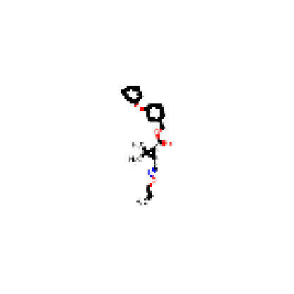 C=CCON=C[C@H]1[C@@H](C(=O)OCc2cccc(Oc3ccccc3)c2)C1(C)C